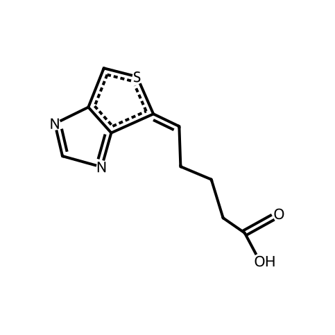 O=C(O)CCCC=c1scc2c1=NC=N2